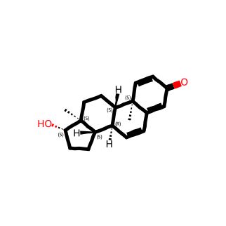 C[C@]12CC[C@H]3[C@@H](C=CC4=CC(=O)C=C[C@@]43C)[C@@H]1CC[C@@H]2O